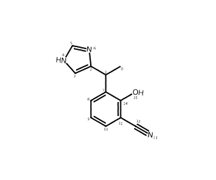 CC(c1c[nH]cn1)c1cccc(C#N)c1O